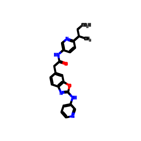 CC(CC(=O)O)c1ccc(NC(=O)Cc2ccc3nc(Nc4cccnc4)oc3c2)cn1